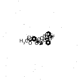 CN(C)C(=O)c1cccc(S(=O)(=O)N2CC[C@H]2C(=O)OCC(OC(F)F)(c2ccccc2)c2cccc[n+]2[O-])c1